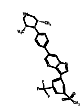 C[C@@H]1CNC[C@H](C)N1c1ccc(-c2cnc3c(-c4cc(C(F)(F)F)cc(S(C)(=O)=O)c4)cnn3c2)cc1